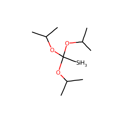 CC(C)OC([SiH3])(OC(C)C)OC(C)C